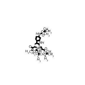 COC(=O)[C@H](Cc1c(SC[C@H](N)C(=O)OC(C)(C)C)[nH]c2cc(NC(=O)OC(C)(C)C)ccc12)NC(=O)OC(C)(C)C